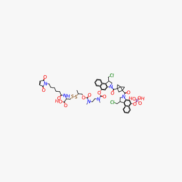 CC(COC(=O)N(C)CCN(C)C(=O)Oc1cc2c(c3ccccc13)C(CCl)CN2C(=O)C12CC3(C(=O)N4CC(CCl)c5c4cc(OP(=O)(O)O)c4ccccc54)CC13C2)SSCC(NC(=O)CCCCCN1C(=O)C=CC1=O)C(=O)O